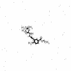 CCOC(=O)c1ccc(N)c(C#CCNC(=O)OC(C)(C)C)c1